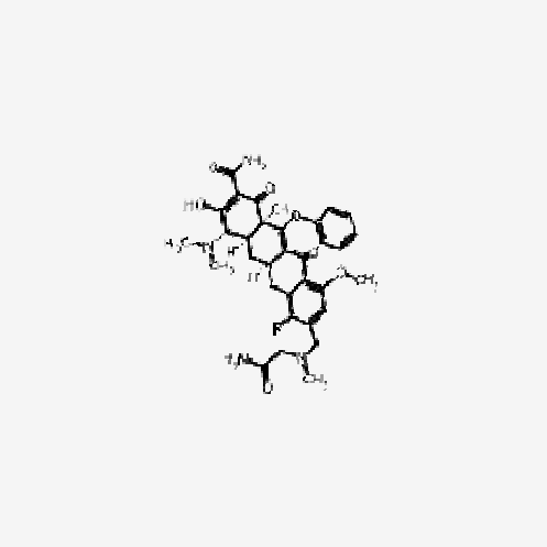 COc1cc(CN(C)CC(N)=O)c(F)c2c1C(=O)C1=C(Oc3ccccc3)[C@]3(C)C(=O)C(C(N)=O)=C(O)[C@@H](N(C)C)[C@@H]3C[C@@H]1C2